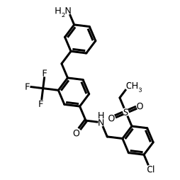 CCS(=O)(=O)c1ccc(Cl)cc1CNC(=O)c1ccc(Cc2cccc(N)c2)c(C(F)(F)F)c1